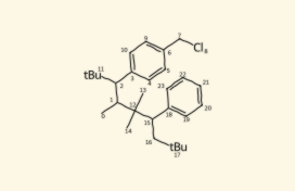 CC(C(c1ccc(CCl)cc1)C(C)(C)C)C(C)(C)C(CC(C)(C)C)c1ccccc1